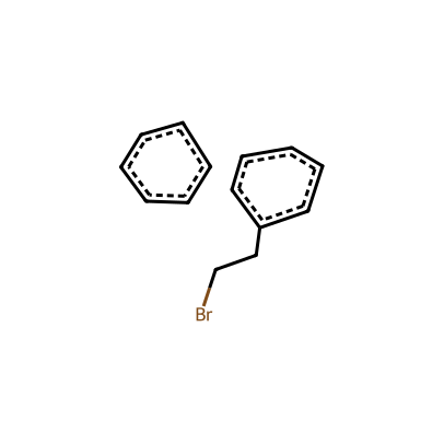 BrCCc1ccccc1.c1ccccc1